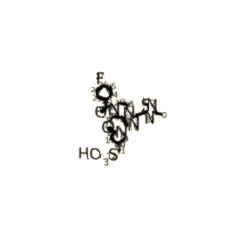 Cc1nsc(-c2nc(N3C[C@@H](CS(=O)(=O)O)CC3=O)c3n2CCN(C(=O)c2ccc(F)cc2)[C@@H]3C)n1